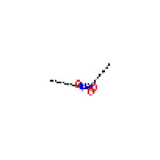 CCCCCCCCCCCCCCCC(=O)NCCCC[C@H](NC(=O)CCCCCCCCCCCCCCC)C(=O)OC